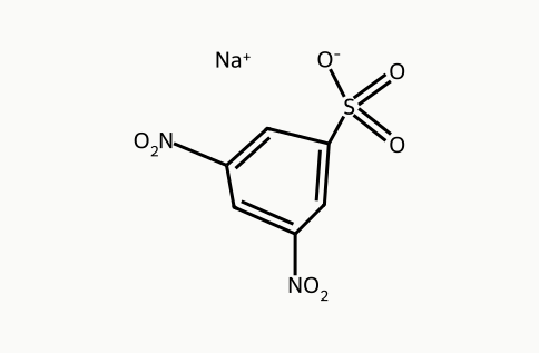 O=[N+]([O-])c1cc([N+](=O)[O-])cc(S(=O)(=O)[O-])c1.[Na+]